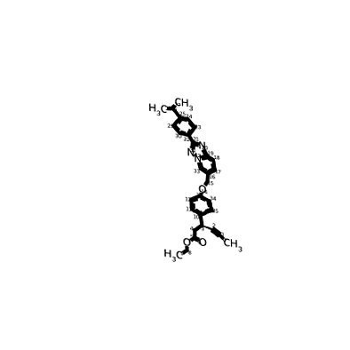 CC#C[C@@H](CC(=O)OCC)c1ccc(OCc2ccc3nc(-c4ccc(C(C)C)cc4)nn3c2)cc1